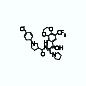 O=C(N[C@H](CN1CCCC1)[C@H](O)c1cc2c(c(C(F)(F)F)c1)OCCO2)C1CCN(c2ccc(Cl)cc2)C1